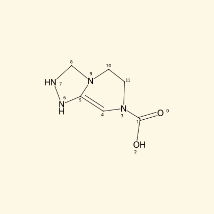 O=C(O)N1C=C2NNCN2CC1